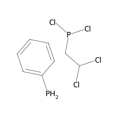 ClC(Cl)CP(Cl)Cl.Pc1ccccc1